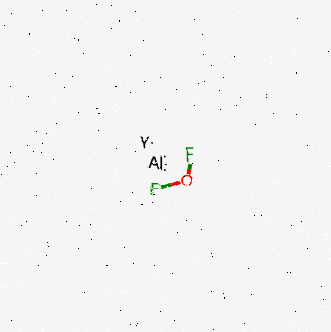 FOF.[Al].[Y]